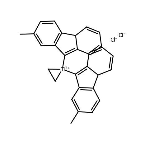 Cc1ccc2c(c1)[C]([Ti+2]1([C]3=C4C=CC=CC4c4ccc(C)cc43)[CH2][CH2]1)=C1C=CC=CC12.[Cl-].[Cl-]